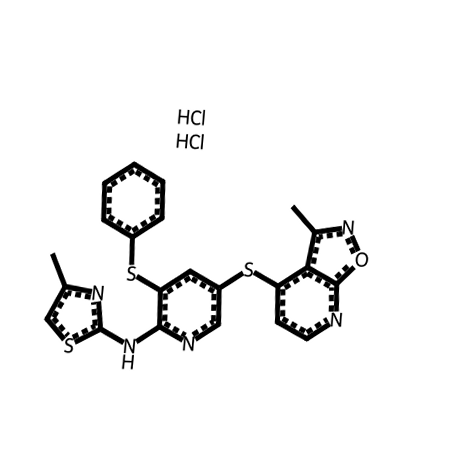 Cc1csc(Nc2ncc(Sc3ccnc4onc(C)c34)cc2Sc2ccccc2)n1.Cl.Cl